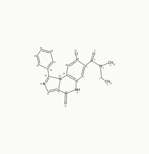 CCN(C)C(=O)c1cc2[nH]c(=O)c3cnc(-c4ccccc4)n3c2cc1Cl